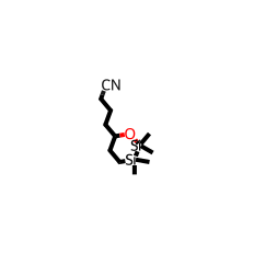 C[Si]1(C)CCC(CCCC#N)O[Si]1(C)C